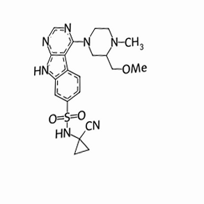 COCC1CN(c2ncnc3[nH]c4cc(S(=O)(=O)NC5(C#N)CC5)ccc4c23)CCN1C